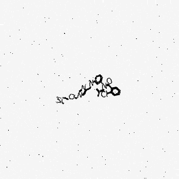 CC(C)CN(C(=O)c1ccccc1Cl)c1cccc(N(C)Cc2cn(COCC[Si](C)(C)C)cn2)c1